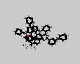 CC1(C)C2=CCC(c3nc(-c4cccc(-c5ccccc5)c4)nc(-c4ccccc4-n4c5ccccc5c5c(-c6cccc7c6c6ccc(-c8ccccc8)cc6n7-c6ccccc6)cccc54)n3)C=C2c2ccccc21